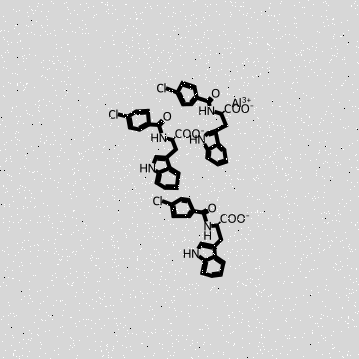 O=C(N[C@@H](Cc1c[nH]c2ccccc12)C(=O)[O-])c1ccc(Cl)cc1.O=C(N[C@@H](Cc1c[nH]c2ccccc12)C(=O)[O-])c1ccc(Cl)cc1.O=C(N[C@@H](Cc1c[nH]c2ccccc12)C(=O)[O-])c1ccc(Cl)cc1.[Al+3]